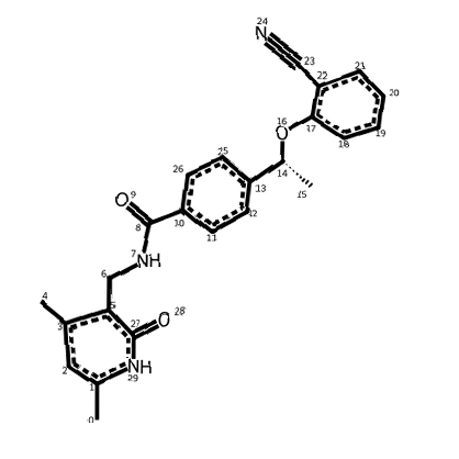 Cc1cc(C)c(CNC(=O)c2ccc([C@@H](C)Oc3ccccc3C#N)cc2)c(=O)[nH]1